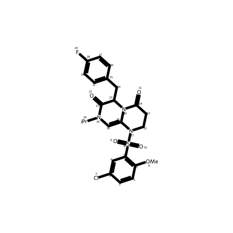 COc1ccc(Cl)cc1S(=O)(=O)N1CCC(=O)N2C1=CN(C(C)C)C(=O)C2Cc1ccc(F)cc1